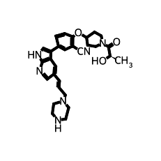 C[C@H](O)C(=O)N1CCC(Oc2ccc(-c3c[nH]c4ncc(/C=C/CN5CCNCC5)cc34)cc2C#N)CC1